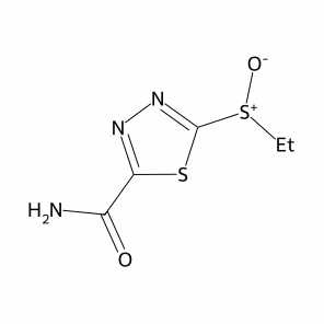 CC[S+]([O-])c1nnc(C(N)=O)s1